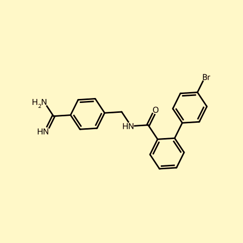 N=C(N)c1ccc(CNC(=O)c2ccccc2-c2ccc(Br)cc2)cc1